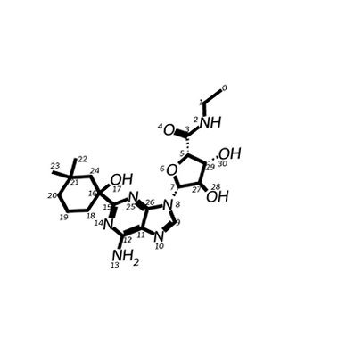 CCNC(=O)[C@H]1O[C@@H](n2cnc3c(N)nc(C4(O)CCCC(C)(C)C4)nc32)C(O)[C@H]1O